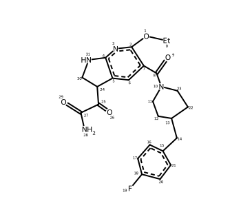 CCOc1nc2c(cc1C(=O)N1CCC(Cc3ccc(F)cc3)CC1)C(C(=O)C(N)=O)CN2